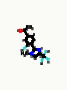 CC(=O)c1ccc(-c2nc(C(F)(F)F)cn2C)c(F)c1